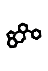 C1=Nc2c(-c3ccccc3)cccc2-n2ccc3cccc1c32